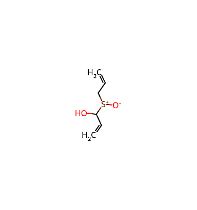 C=CC[S+]([O-])C(O)C=C